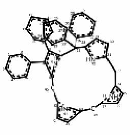 c1ccc(-c2c3[nH]c(c2-c2ccccc2)C(c2ccccc2)(c2ccccc2)c2ccc([nH]2)Cc2ccc([nH]2)Cc2ccc([nH]2)C3)cc1